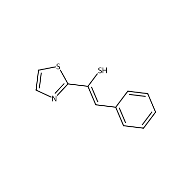 SC(=Cc1ccccc1)c1nccs1